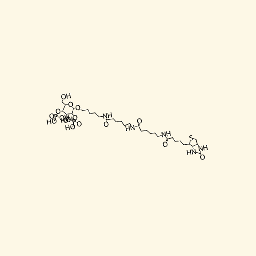 O=C(CCCCCNC(=O)CCCCCNC(=O)CCCCC1SCC2NC(=O)NC21)NCCCCCO[C@H]1OC(CO)[C@@H](OP(=O)(O)O)C(O)C1OP(=O)(O)O